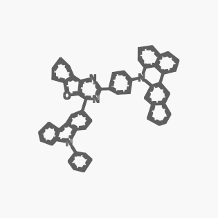 c1ccc(-n2c3ccccc3c3cc(-c4nc(-c5ccc(N6c7cc8ccccc8cc7-c7cccc8cccc6c78)cc5)nc5c4oc4ccccc45)ccc32)cc1